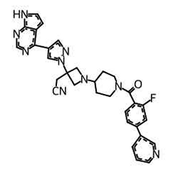 N#CCC1(n2cc(-c3ncnc4[nH]ccc34)cn2)CN(C2CCN(C(=O)c3ccc(-c4cccnc4)cc3F)CC2)C1